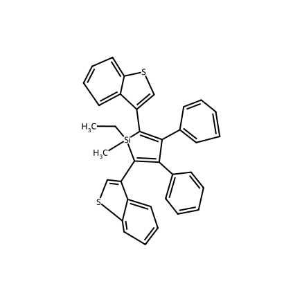 CC[Si]1(C)C(c2csc3ccccc23)=C(c2ccccc2)C(c2ccccc2)=C1c1csc2ccccc12